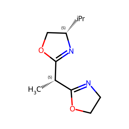 CC(C)[C@H]1COC([C@@H](C)C2=NCCO2)=N1